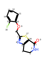 O=C1NCCc2nc(COc3ccccc3F)sc21